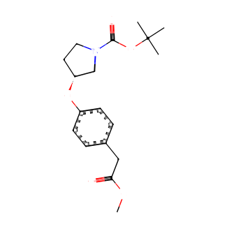 COC(=O)Cc1ccc(O[C@H]2CCN(C(=O)OC(C)(C)C)C2)cc1